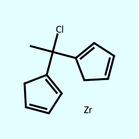 CC(Cl)(C1=CC=CC1)C1=CC=CC1.[Zr]